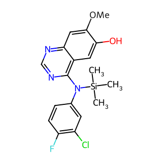 COc1cc2ncnc(N(c3ccc(F)c(Cl)c3)[Si](C)(C)C)c2cc1O